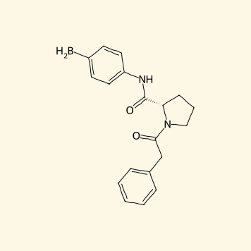 Bc1ccc(NC(=O)[C@@H]2CCCN2C(=O)Cc2ccccc2)cc1